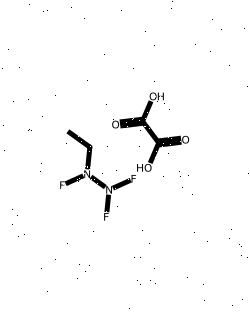 CCN(F)N(F)F.O=C(O)C(=O)O